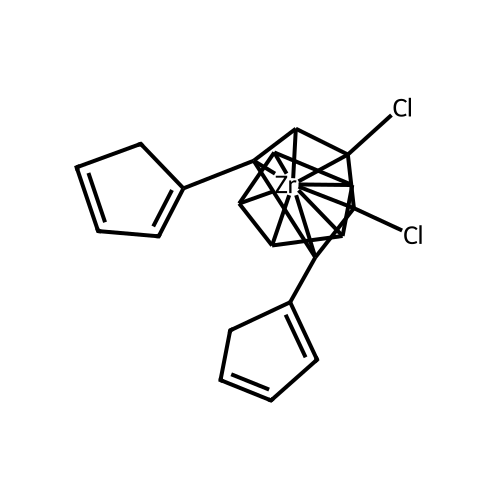 Cl[C]12[CH]3[C]4(C5=CC=CC5)[C]5(C6=CC=CC6)[C]1(Cl)[Zr]32451678[CH]2[CH]1[CH]6[CH]7[CH]28